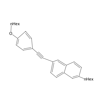 CCCCCCOc1ccc(C#Cc2ccc3cc(CCCCCC)ccc3c2)cc1